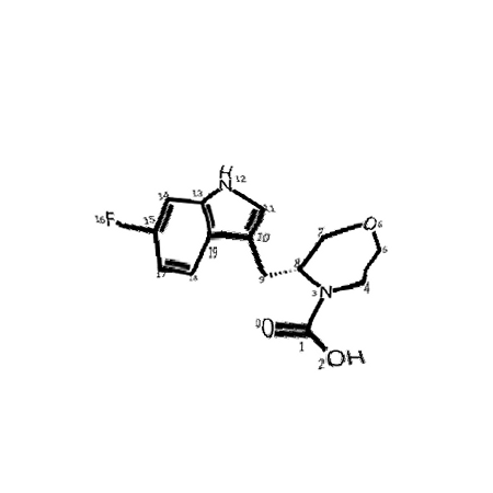 O=C(O)N1CCOC[C@H]1Cc1c[nH]c2cc(F)ccc12